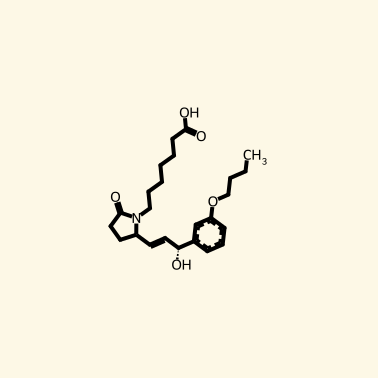 CCCCOc1cccc([C@H](O)/C=C/C2CCC(=O)N2CCCCCCC(=O)O)c1